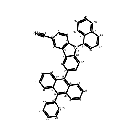 N#Cc1ccc2c(c1)c1cc(-c3c4ccccc4c(-c4ccccn4)c4ccccc34)ccc1n2-c1cccc2ccccc12